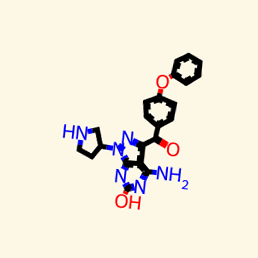 Nc1nc(O)nc2c1c(C(=O)c1ccc(Oc3ccccc3)cc1)nn2C1CCNC1